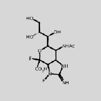 CC(=O)NC1C2NC(=N)N(F)C2C(F)(C(=O)O)OC1[C@H](O)[C@H](O)CO